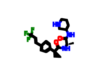 C[C@H](NC(=O)C1(c2ccc(/C=C/C(F)(F)F)cc2)CC1)C(=O)N[C@@H]1CCCNC1